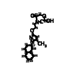 Cc1cc(OCCN2CC(O)OCC2=O)nn1-c1ccc2ccccc2c1